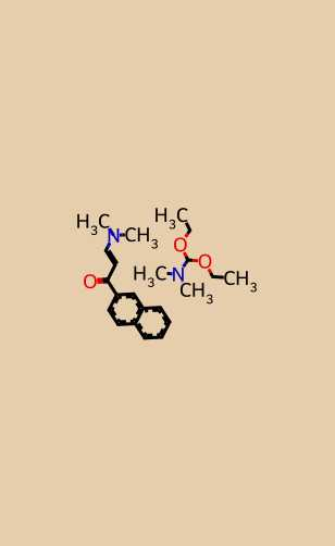 CCOC(OCC)N(C)C.CN(C)C=CC(=O)c1ccc2ccccc2c1